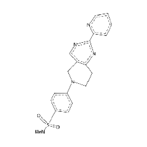 CNS(=O)(=O)c1ccc(N2CCc3nc(-c4ccccn4)ncc3C2)cc1